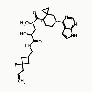 C=CCC1(F)CC(CNC(=O)[C@@H](O)CN(C)C(=O)[C@@H]2CCN(c3ncnc4[nH]ccc34)CC23CC3)C1